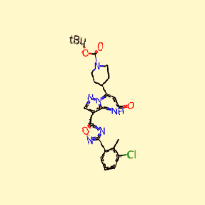 Cc1c(Cl)cccc1-c1noc(-c2cnn3c(C4CCN(C(=O)OC(C)(C)C)CC4)cc(=O)[nH]c23)n1